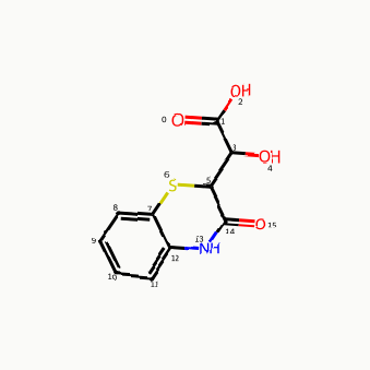 O=C(O)C(O)C1Sc2ccccc2NC1=O